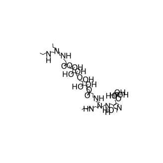 CCCCNCCN(CCNCCC(=O)OCC(O)C(O)C(O)COCC(O)C(O)C(O)COC(=O)CCNCCN(CCC)CCNCCC)CCNCc1c(CO[PH](O)(O)O)cnc(C)c1O